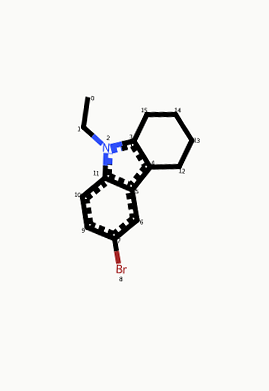 CCn1c2c(c3cc(Br)ccc31)CCCC2